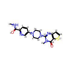 CNC(=O)c1ccc(N2CCN(c3nc4ccsc4c(=O)n3C)CC2)cn1